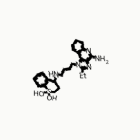 CCc1nc2c(N)nc3ccccc3c2n1CCCCNC1CCS(O)(O)c2ccccc21